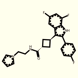 O=C(NCCn1cccc1)[C@H]1C[C@H](c2c(-c3ccc(F)cc3)[nH]c3c(F)cc(F)cc32)C1